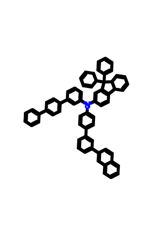 C1=CCC(C2(c3ccccc3)c3cc(N(c4ccc(-c5cccc(-c6ccc7ccccc7c6)c5)cc4)c4cccc(-c5ccc(-c6ccccc6)cc5)c4)ccc3C3C=CC=CC32)C=C1